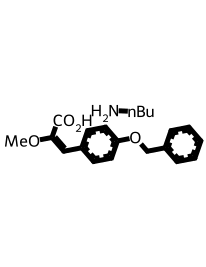 CCCCN.COC(=Cc1ccc(OCc2ccccc2)cc1)C(=O)O